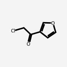 O=C(CCl)c1ccoc1